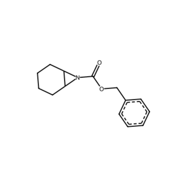 O=C(OCc1ccccc1)N1C2CCCCC21